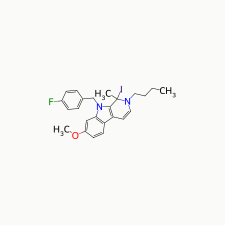 CCCCN1C=Cc2c(n(Cc3ccc(F)cc3)c3cc(OC)ccc23)C1(C)I